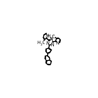 Cc1cccnc1-c1nc(-c2ccc(-c3ccc4ccccc4c3)cc2)nc(-c2ncccc2C)n1